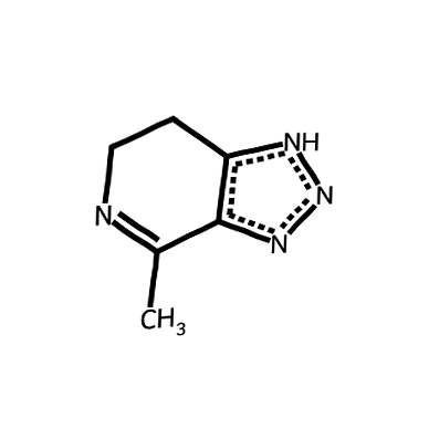 CC1=NCCc2[nH]nnc21